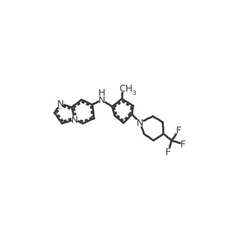 Cc1cc(N2CCC(C(F)(F)F)CC2)ccc1Nc1ccn2ccnc2c1